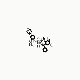 Cc1cc(N2CCOCC2)ccc1NC(=S)NC1N=C(c2ccccc2)c2cc(Cl)ccc2N(C)C1=O